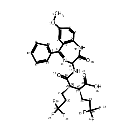 COc1ccc2c(c1)C(c1ccccc1)=NC(NC(=O)[C@H](CCC(F)(F)F)[C@H](CCC(F)(F)F)C(=O)O)C(=O)N2